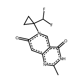 Cc1nc2cc(=O)n(C3(C(F)F)CC3)cc2c(=O)[nH]1